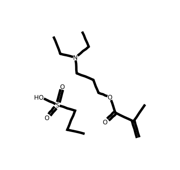 C=C(C)C(=O)OCCCN(CC)CC.CCCS(=O)(=O)O